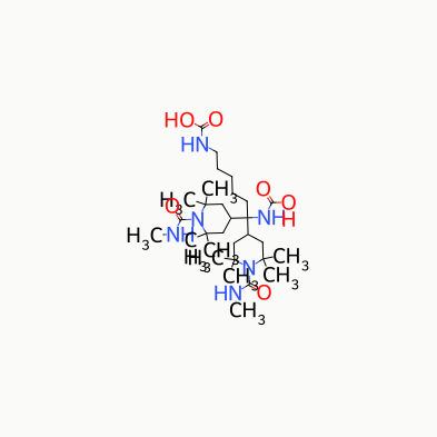 CNC(=O)N1C(C)(C)CC(C(CCCCCNC(=O)O)(NC(=O)O)C2CC(C)(C)N(C(=O)NC)C(C)(C)C2)CC1(C)C